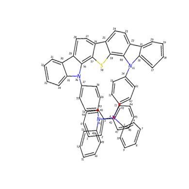 c1ccc(N(c2ccccc2)c2ccc(-n3c4ccccc4c4ccc5c6ccc7c8ccccc8n(-c8ccc(N(c9ccccc9)c9ccccc9)cc8)c7c6sc5c43)cc2)cc1